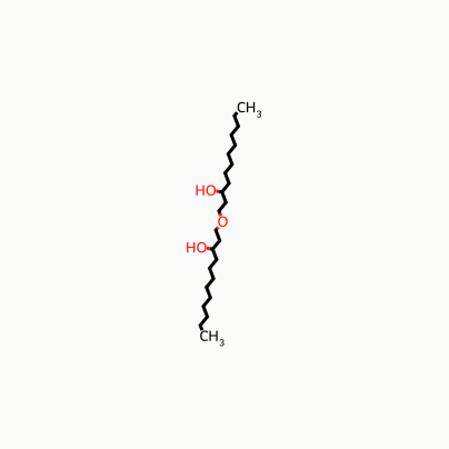 CCCCCCCCCC(O)CCOCCC(O)CCCCCCCCC